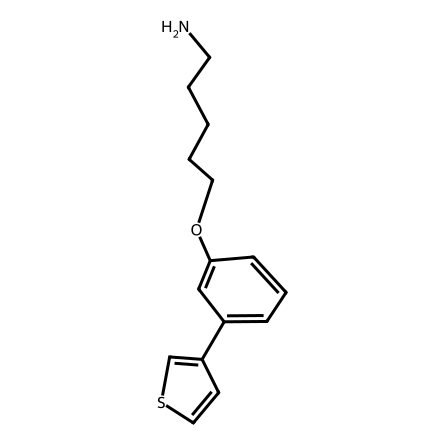 NCCCCCOc1cccc(-c2ccsc2)c1